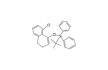 CC(C)(C)[Si](OC1=CCCc2cccc(Cl)c21)(c1ccccc1)c1ccccc1